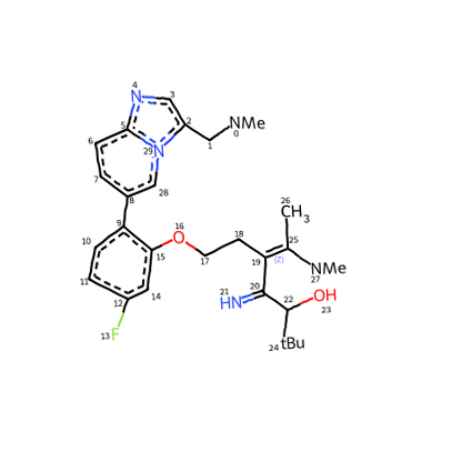 CNCc1cnc2ccc(-c3ccc(F)cc3OCC/C(C(=N)C(O)C(C)(C)C)=C(\C)NC)cn12